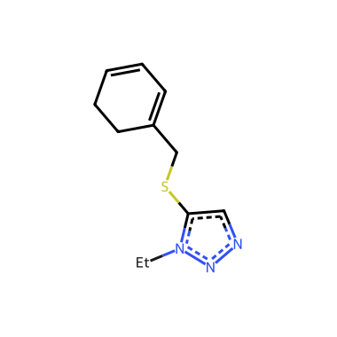 CCn1nncc1SCC1=CC=CCC1